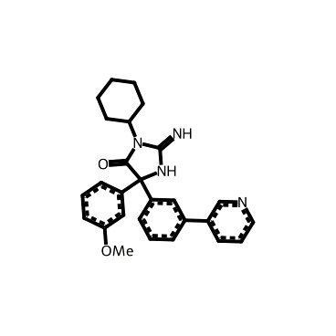 COc1cccc(C2(c3cccc(-c4cccnc4)c3)NC(=N)N(C3CCCCC3)C2=O)c1